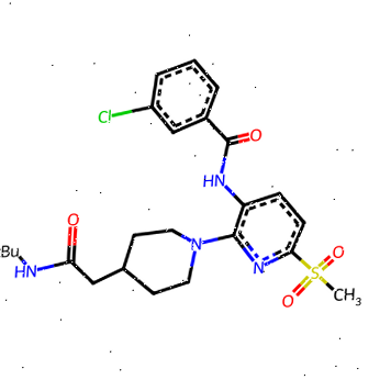 CC(C)(C)NC(=O)CC1CCN(c2nc(S(C)(=O)=O)ccc2NC(=O)c2cccc(Cl)c2)CC1